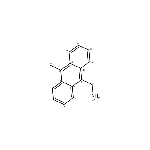 Cc1c2ccccc2c(CN)c2ccccc12